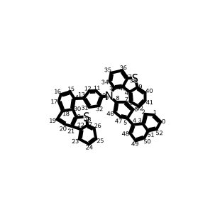 c1ccc2c(-c3ccc(N(c4ccc(-c5cccc6ccc7c8ccccc8sc7c56)cc4)c4cccc5sc6ccccc6c45)cc3)cccc2c1